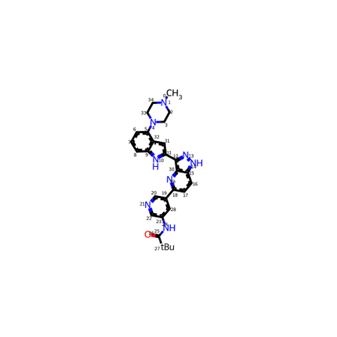 CN1CCN(c2cccc3[nH]c(-c4n[nH]c5ccc(-c6cncc(NC(=O)C(C)(C)C)c6)nc45)cc23)CC1